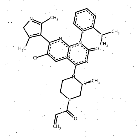 C=CC(=O)N1CCN(c2nc(=O)n(-c3ccccc3C(C)C)c3nc(C4=C(C)CN=C4C)c(Cl)cc23)[C@@H](C)C1